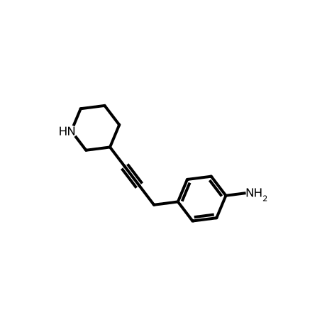 Nc1ccc(CC#CC2CCCNC2)cc1